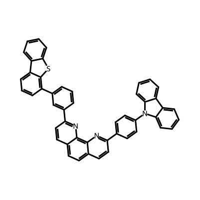 c1cc(-c2ccc3ccc4ccc(-c5ccc(-n6c7ccccc7c7ccccc76)cc5)nc4c3n2)cc(-c2cccc3c2sc2ccccc23)c1